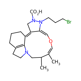 C/C1=C/O/C=C2\C(=C3\CCCC4=C3N(CC4)CC1C)CN(C(=O)O)N2CCCBr